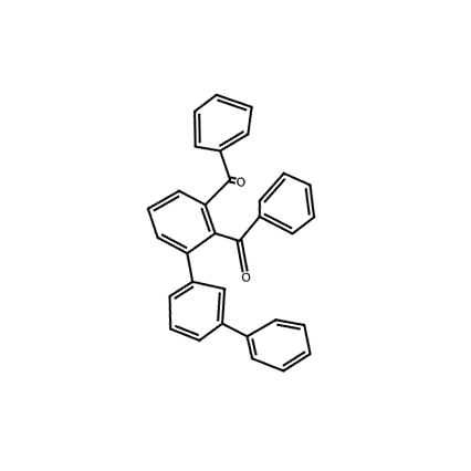 O=C(c1ccccc1)c1cccc(-c2cccc(-c3ccccc3)c2)c1C(=O)c1ccccc1